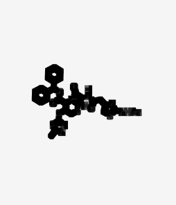 CC(=O)Nc1nc(CC(=O)N[C@@H]2C(=O)N3C(C(=O)OC(c4ccccc4)c4ccccc4)=C(Sc4nnc(C)s4)CS[C@H]23)cs1